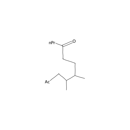 CCCC(=O)CCC(C)C(C)CC(C)=O